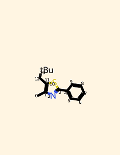 Cc1nc(-c2ccccc2)sc1CC(C)(C)C